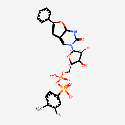 Cc1ccc(P(=O)(O)OP(=O)(O)OC[C@H]2O[C@@H](N3C=C4C=C(c5ccccc5)OC4NC3=O)[C@@H](O)C2O)cc1C